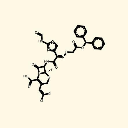 O=CNc1nc(/C(=N\OCC(=O)OC(c2ccccc2)c2ccccc2)C(=O)NC2C(=O)N3C(C(=O)O)=C(C=C(Cl)Cl)CS[C@H]23)cs1